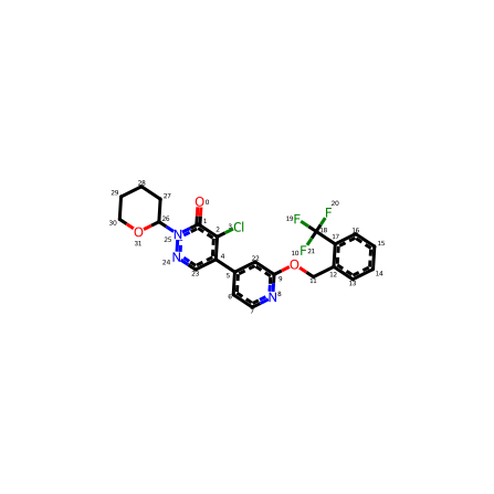 O=c1c(Cl)c(-c2ccnc(OCc3ccccc3C(F)(F)F)c2)cnn1C1CCCCO1